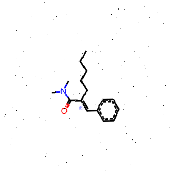 CCCCC/C(=C\c1ccccc1)C(=O)N(C)C